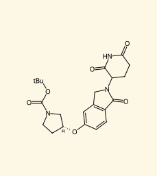 CC(C)(C)OC(=O)N1CC[C@@H](Oc2ccc3c(c2)CN(C2CCC(=O)NC2=O)C3=O)C1